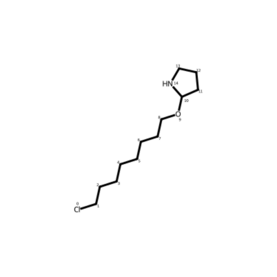 ClCCCCCCCCOC1CCCN1